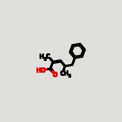 CC(=CC(C)Cc1ccccc1)C(=O)O